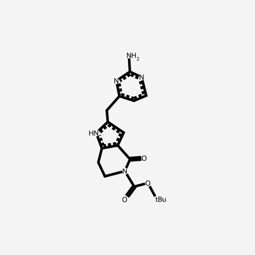 CC(C)(C)OC(=O)N1CCc2[nH]c(Cc3ccnc(N)n3)cc2C1=O